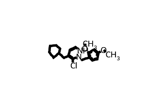 COc1ccc(CN2NC=CC(CC3CCCCC3)=C2Cl)c(OC)c1